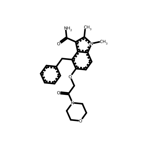 Cc1c(C(N)=O)c2c(Cc3ccccc3)c(OCC(=O)N3CCOCC3)ccc2n1C